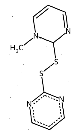 CN1C=CC=NC1SSc1ncccn1